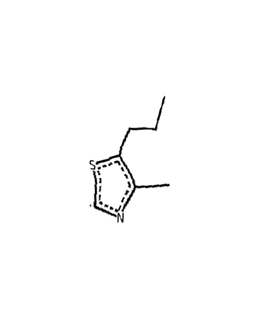 CCCc1s[c]nc1C